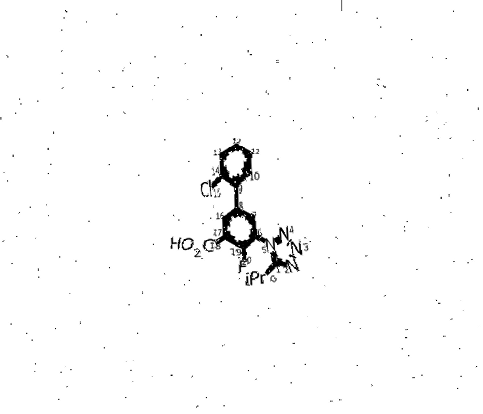 CC(C)c1nnnn1-c1cc(-c2ccccc2Cl)cc(C(=O)O)c1F